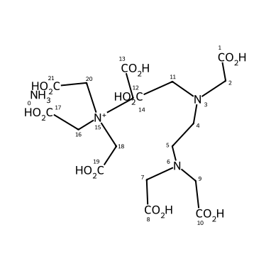 N.O=C(O)CN(CCN(CC(=O)O)CC(=O)O)CC(=O)O.O=C(O)C[N+](CC(=O)O)(CC(=O)O)CC(=O)O